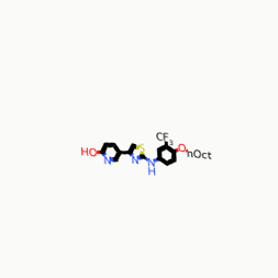 CCCCCCCCOc1ccc(Nc2nc(-c3ccc(O)nc3)cs2)cc1C(F)(F)F